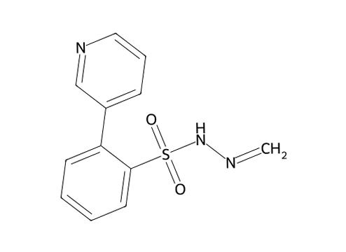 C=NNS(=O)(=O)c1ccccc1-c1cccnc1